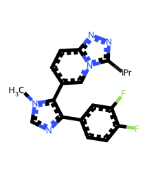 CC(C)c1nnc2ccc(-c3c(-c4ccc(F)c(F)c4)ncn3C)cn12